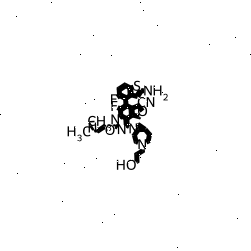 CN(C)CCOc1nc(N2CC3CCN(CCCO)CC2C3)c2c3c(c(-c4c(F)ccc5sc(N)c(C#N)c45)c(F)c2n1)COC3